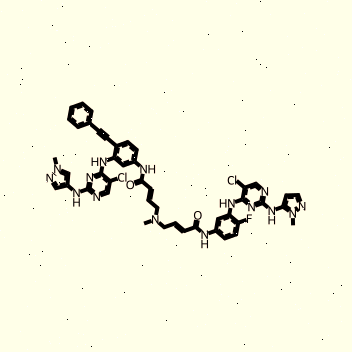 CN(C/C=C/C(=O)Nc1ccc(F)c(Nc2nc(Nc3ccnn3C)ncc2Cl)c1)C/C=C/C(=O)Nc1ccc(C#Cc2ccccc2)c(Nc2nc(Nc3cnn(C)c3)ncc2Cl)c1